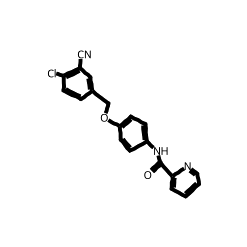 N#Cc1cc(COc2ccc(NC(=O)c3ccccn3)cc2)ccc1Cl